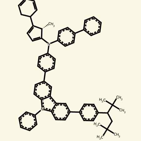 C[C@H]1C(C2C=CC=CC2)=CC=C1N(c1ccc(-c2ccccc2)cc1)c1ccc(-c2ccc3c(c2)c2cc(-c4ccc(C(CC(C)(C)C)C(C)(C)C)cc4)ccc2n3-c2ccccc2)cc1